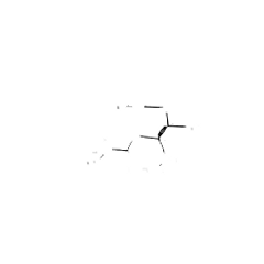 CCCCCOC(CCC)=C(OCCCCC)OCOCCCC